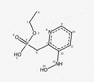 CCOP(=O)(O)Cc1ncccc1NO